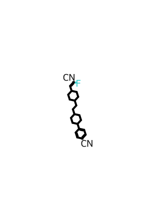 N#CC(F)=CC1CCC(CCC2CCC(c3ccc(C#N)cc3)CC2)CC1